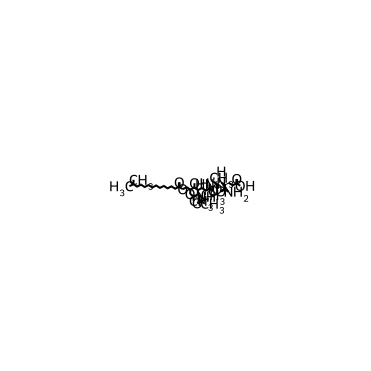 CC(=O)NC1C(C)OC(COC(=O)CCCCCCCCCCCC(C)C)C(O)C1C[C@H](C)C(=O)N[C@@H](C)C(=O)N[C@@H](CCC(=O)O)C(N)=O